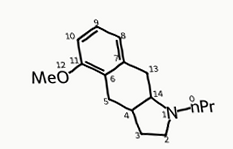 CCCN1CCC2Cc3c(cccc3OC)CC21